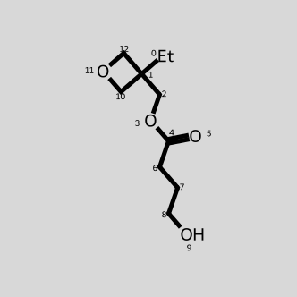 CCC1(COC(=O)CCCO)COC1